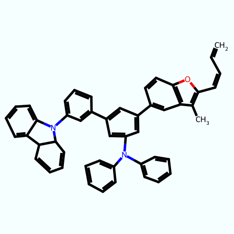 C=C/C=C\c1oc2ccc(-c3cc(-c4cccc(N5c6ccccc6C6C=CC=CC65)c4)cc(N(c4ccccc4)c4ccccc4)c3)cc2c1C